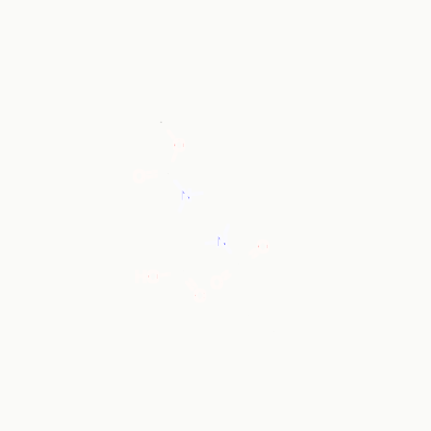 CC(C)(C)OC(=O)N1CCN(S(=O)(=O)c2cccs2)C(C(=O)O)C1